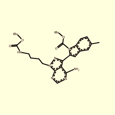 Cc1ccc2c(c1)cc(-c1nn(CCCCNC(=O)OC(C)(C)C)c3ncnc(N)c13)n2C(=O)OC(C)(C)C